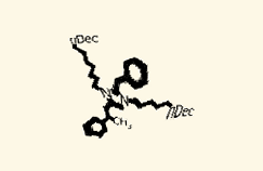 CCCCCCCCCCCCCCCCC[n+]1c(CC(C)c2ccccc2)cn(CCCCCCCCCCCCCCC)c1Cc1ccccc1